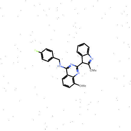 COC1=Nc2ccccc2C1c1nc(NCc2ccc(F)cc2)c2cccc(OC)c2n1